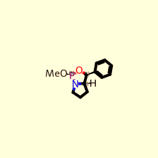 CO[P@]1O[C@@H](c2ccccc2)[C@H]2CCCN21